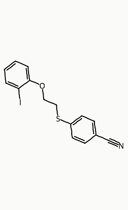 N#Cc1ccc(SCCOc2ccccc2I)cc1